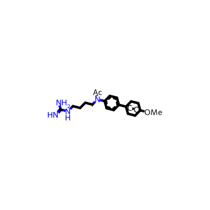 COC12CCC(c3ccc(N([CH]CCCNC(=N)N)C(C)=O)cc3)(CC1)CC2